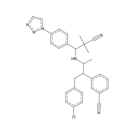 CC(NC(c1ccc(-n2ccnn2)cc1)C(C)(C)C#N)C(Cc1ccc(Cl)cc1)c1cccc(C#N)c1